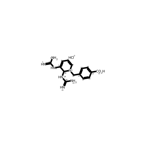 Cl.N=C(N)NC1=CC=CN(Cc2ccc(C(=O)O)cc2)C1NC(=N)N